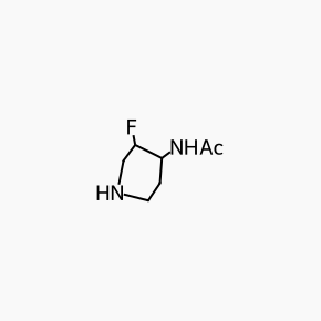 CC(=O)NC1CCNCC1F